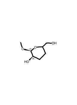 CO[C@H]1OC(CO)CC[C@H]1O